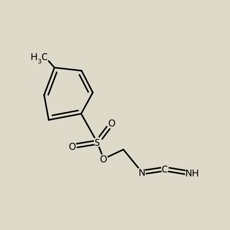 Cc1ccc(S(=O)(=O)OCN=C=N)cc1